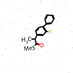 CSC(=O)C(C)c1ccc(-c2ccccc2)c(F)c1